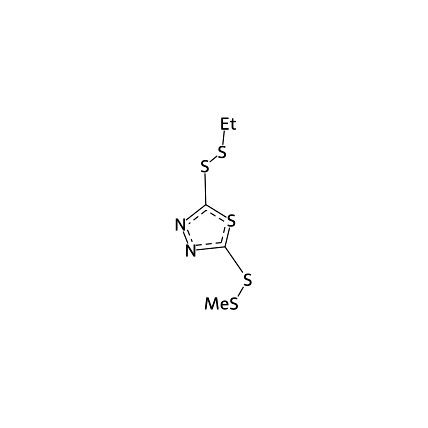 CCSSc1nnc(SSC)s1